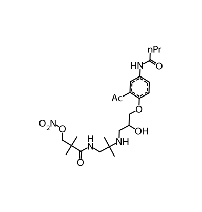 CCCC(=O)Nc1ccc(OCC(O)CNC(C)(C)CNC(=O)C(C)(C)CO[N+](=O)[O-])c(C(C)=O)c1